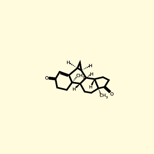 C[C@]12CCC(=O)C=C1[C@H]1C[C@H]1[C@@H]1[C@@H]2CC[C@]2(C)C(=O)CC[C@@H]12